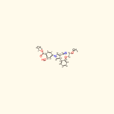 CCOC(=O)c1ccc(-n2cc(C#N)c(-c3ccccc3OCCOC)c2)cc1O